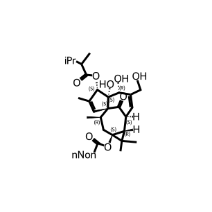 CCCCCCCCCC(=O)O[C@@]12C[C@@H](C)[C@]34C=C(C)[C@H](OC(=O)C(C)C(C)C)[C@@]3(O)[C@H](O)C(CO)=C[C@H](C4=O)[C@@H]1C2(C)C